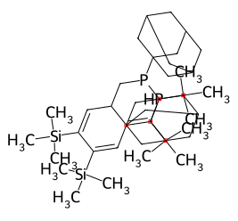 CC(C)(C)PC(=C1C=C([Si](C)(C)C)C([Si](C)(C)C)=CC1CP(C12CC3CC(CC(C3)C1)C2)C12CC3CC(CC(C3)C1)C2)C(C)(C)C